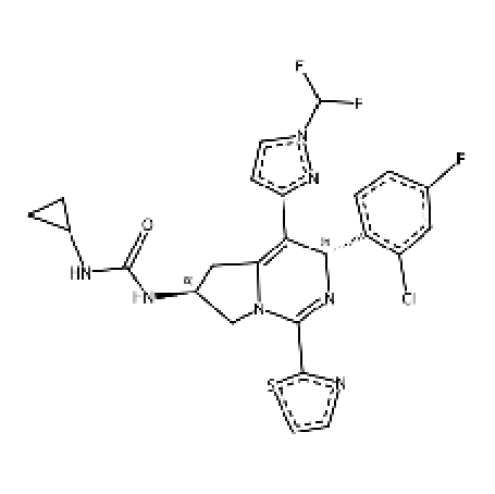 O=C(NC1CC1)N[C@H]1CC2=C(c3ccn(C(F)F)n3)[C@H](c3ccc(F)cc3Cl)N=C(c3nccs3)N2C1